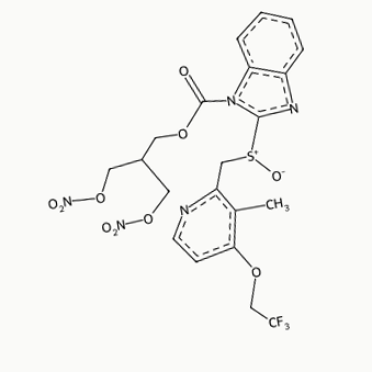 Cc1c(OCC(F)(F)F)ccnc1C[S+]([O-])c1nc2ccccc2n1C(=O)OCC(CO[N+](=O)[O-])CO[N+](=O)[O-]